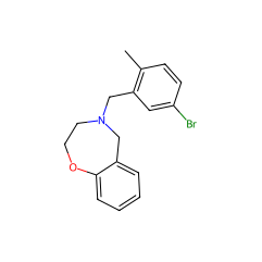 Cc1ccc(Br)cc1CN1CCOc2ccccc2C1